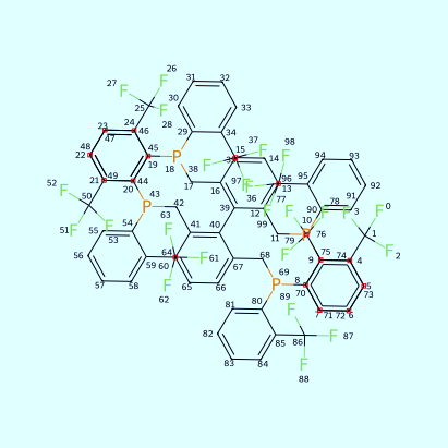 FC(F)(F)c1ccccc1P(Cc1cccc(CP(c2ccccc2C(F)(F)F)c2ccccc2C(F)(F)F)c1-c1c(CP(c2ccccc2C(F)(F)F)c2ccccc2C(F)(F)F)cccc1CP(c1ccccc1C(F)(F)F)c1ccccc1C(F)(F)F)c1ccccc1C(F)(F)F